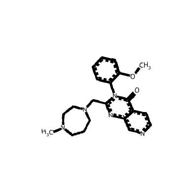 COc1ccccc1-n1c(CN2CCCN(C)CC2)nc2cnccc2c1=O